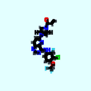 C=CC(=O)N1C[C@@H]2C[C@H]1CN2c1ccc2ncnc(Nc3ccc(OC(F)F)c(Cl)c3F)c2n1